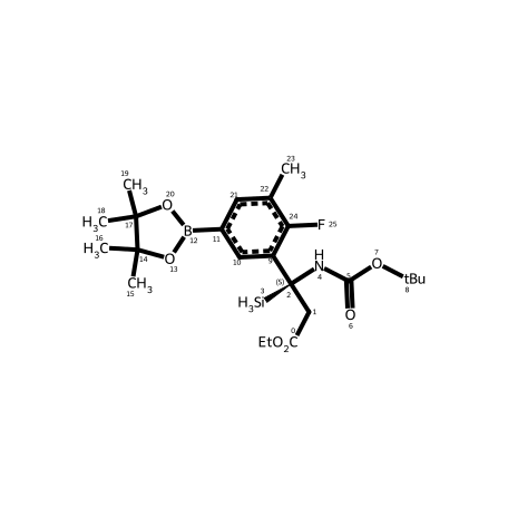 CCOC(=O)C[C@@]([SiH3])(NC(=O)OC(C)(C)C)c1cc(B2OC(C)(C)C(C)(C)O2)cc(C)c1F